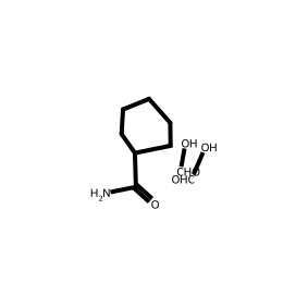 NC(=O)C1CCCCC1.O=CO.O=CO